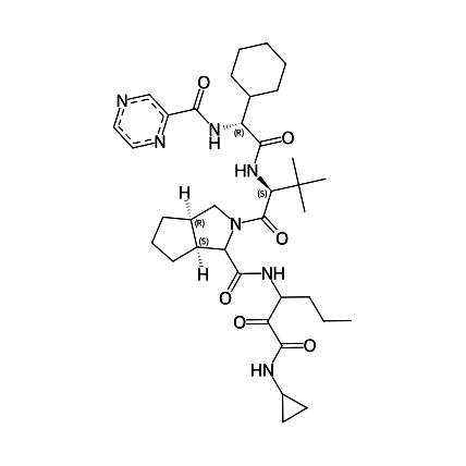 CCCC(NC(=O)C1[C@H]2CCC[C@H]2CN1C(=O)[C@@H](NC(=O)[C@H](NC(=O)c1cnccn1)C1CCCCC1)C(C)(C)C)C(=O)C(=O)NC1CC1